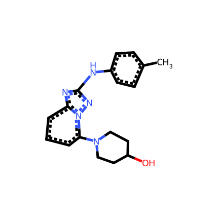 Cc1ccc(Nc2nc3cccc(N4CCC(O)CC4)n3n2)cc1